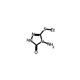 CCSc1n[nH]c(=O)n1N